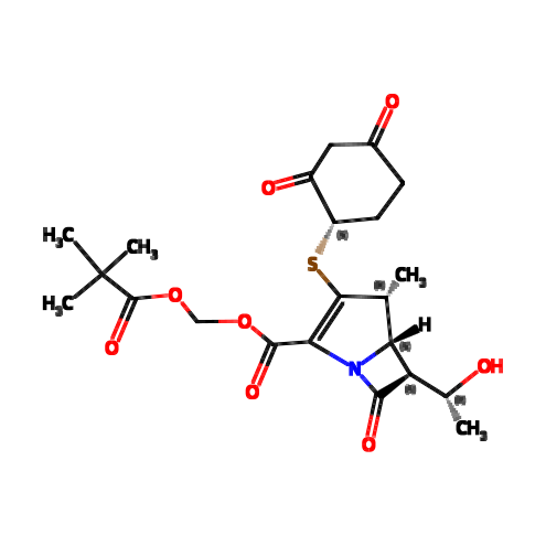 C[C@@H](O)[C@H]1C(=O)N2C(C(=O)OCOC(=O)C(C)(C)C)=C(S[C@H]3CCC(=O)CC3=O)[C@H](C)[C@H]12